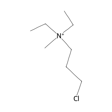 CC[N+](C)(CC)CCCCl